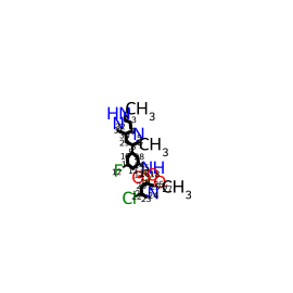 CNc1cc2nc(C)c(-c3cc(F)cc(NS(=O)(=O)c4cc(Cl)cnc4OC)c3)cc2cn1